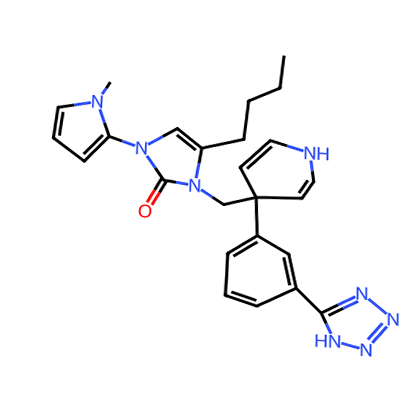 CCCCc1cn(-c2cccn2C)c(=O)n1CC1(c2cccc(-c3nnn[nH]3)c2)C=CNC=C1